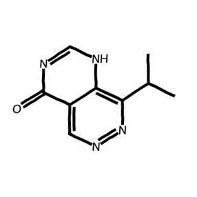 CC(C)c1nncc2c(=O)nc[nH]c12